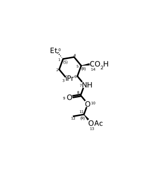 CC[C@@H](CC(C)C)C[C@H](CNC(=O)O[C@H](C)OC(C)=O)C(=O)O